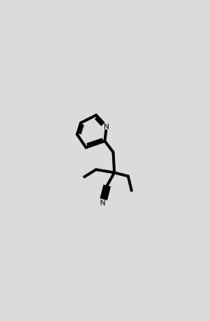 CCC(C#N)(CC)Cc1ccccn1